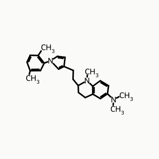 Cc1ccc(C)c(-n2ccc(CCC3CCc4cc(N(C)C)ccc4N3C)c2)c1